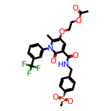 CC(=O)OCCOc1cc(C(=O)NCc2ccc(S(C)(=O)=O)cc2)c(=O)n(-c2cccc(C(F)(F)F)c2)c1C